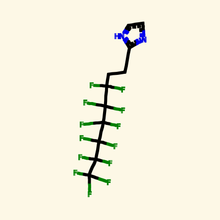 FC(F)(F)C(F)(F)C(F)(F)C(F)(F)C(F)(F)C(F)(F)CCc1ncc[nH]1